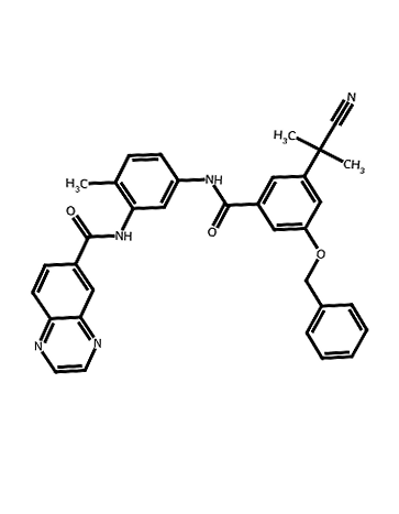 Cc1ccc(NC(=O)c2cc(OCc3ccccc3)cc(C(C)(C)C#N)c2)cc1NC(=O)c1ccc2nccnc2c1